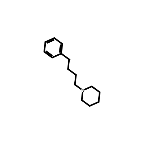 [CH](CCCN1CCCCC1)c1ccccc1